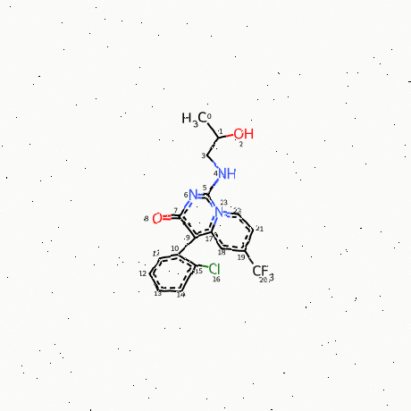 CC(O)CNc1nc(=O)c(-c2ccccc2Cl)c2cc(C(F)(F)F)ccn12